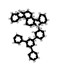 c1ccc(-c2cc(-c3ccccc3)cc(-c3cccc(-n4c5ccccc5c5c6ccc7sc8ccccc8c7c6ccc54)c3)c2)cc1